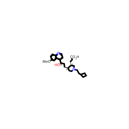 COc1ccc2nccc([C@H](O)CC[C@@H]3CCN(CCC4CCC4)C[C@H]3CCC(=O)O)c2c1